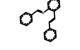 C(=Cc1ccccc1N=Cc1ccccc1)c1ccccc1